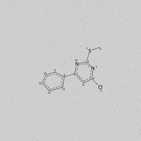 CSc1nc(Cl)cc(-c2ccccc2)n1